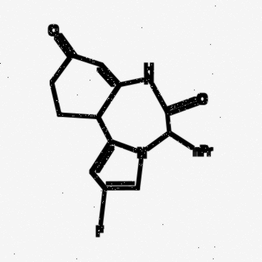 CCCC1C(=O)NC2=CC(=O)CCC2c2cc(F)cn21